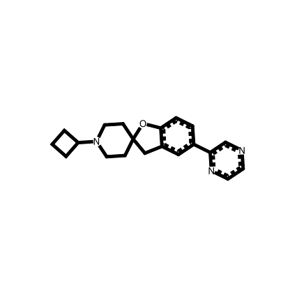 c1cnc(-c2ccc3c(c2)CC2(CCN(C4CCC4)CC2)O3)cn1